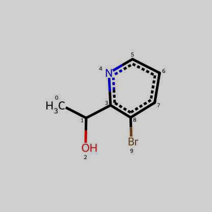 CC(O)c1ncccc1Br